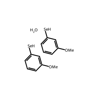 COc1cccc([SeH])c1.COc1cccc([SeH])c1.O